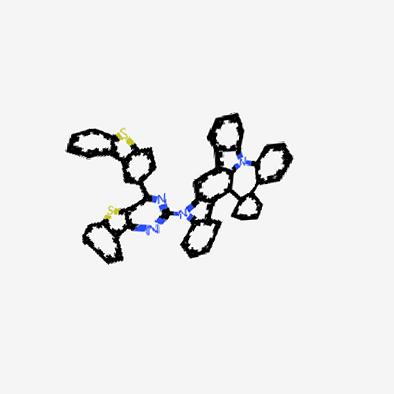 c1ccc2c(c1)-c1ccccc1-n1c3ccccc3c3cc4c(c-2c31)c1ccccc1n4-c1nc(-c2ccc3sc4ccccc4c3c2)c2sc3ccccc3c2n1